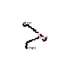 CCCCC/C=C\C/C=C\CCCCCCCCOCC(CN1CCCC1=O)OCCCCCCCC/C=C\C/C=C\CCCCC